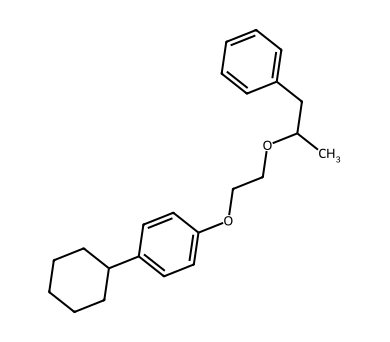 CC(Cc1ccccc1)OCCOc1ccc(C2CCCCC2)cc1